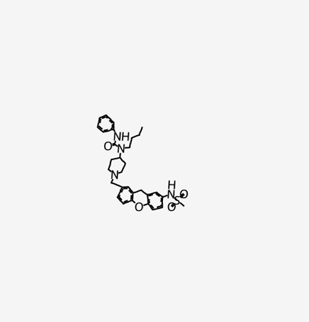 CCCCN(C(=O)Nc1ccccc1)C1CCN(Cc2ccc3c(c2)Cc2cc(NS(C)(=O)=O)ccc2O3)CC1